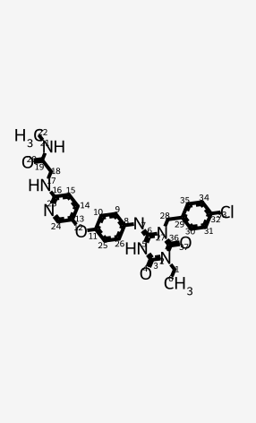 CCn1c(=O)[nH]/c(=N\c2ccc(Oc3ccc(NCC(=O)NC)nc3)cc2)n(Cc2ccc(Cl)cc2)c1=O